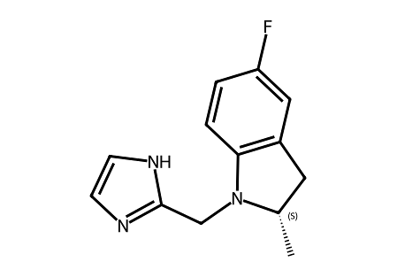 C[C@H]1Cc2cc(F)ccc2N1Cc1ncc[nH]1